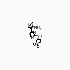 Cn1ncc(-c2ccnc(NC3CCS(=O)(=O)C3)n2)c1N